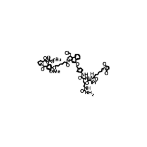 CCCCOC(=O)N1c2cc(OCCCCCC(=O)N3C[C@@H](CCl)c4c3cc(OCc3ccc(NC(=O)[C@H](CCCNC(N)=O)NC(=O)[C@@H](NC(=O)CCCCCN5C(=O)C=CC5=O)C(C)C)cc3)c3ccccc43)c(OC)cc2C(=O)N2CCCC2C1O